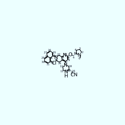 CN1CCC[C@H]1COc1cc(N2CCN[C@@H](CC#N)C2)c2c(n1)CN(c1cccc3cccc(Cl)c13)CC2